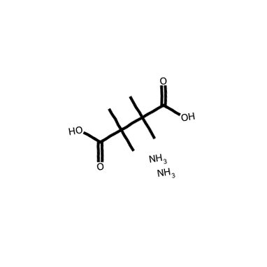 CC(C)(C(=O)O)C(C)(C)C(=O)O.N.N